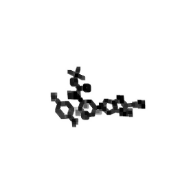 CC(C)(C)OC(=O)N[C@H]1C[C@@H](N2Cc3nc(C#N)[nH]c3C2)CO[C@@H]1c1cc(F)ccc1F